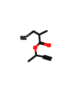 C#CC(C)OC(=O)C(C)CC#N